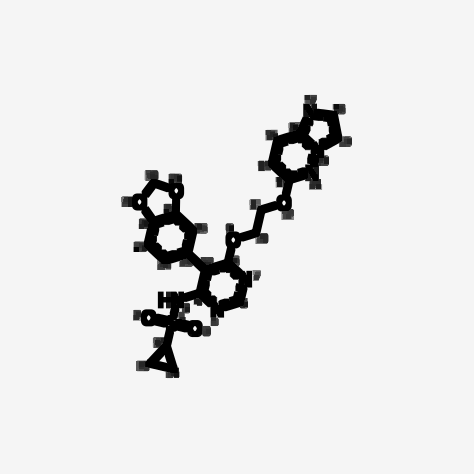 O=S(=O)(Nc1ncnc(OCCOc2ccc3nccn3n2)c1-c1ccc2c(c1)OCO2)C1CC1